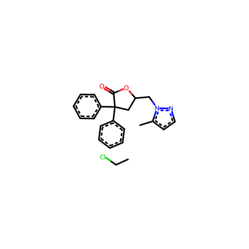 CCCl.Cc1ccnn1CC1CC(c2ccccc2)(c2ccccc2)C(=O)O1